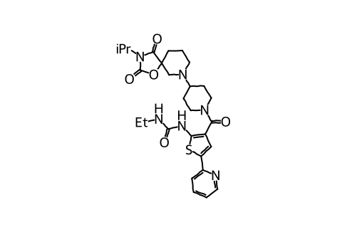 CCNC(=O)Nc1sc(-c2ccccn2)cc1C(=O)N1CCC(N2CCCC3(C2)OC(=O)N(C(C)C)C3=O)CC1